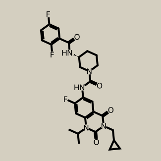 CC(C)n1c(=O)n(CC2CC2)c(=O)c2cc(NC(=O)N3CCC[C@@H](NC(=O)c4cc(F)ccc4F)C3)c(F)cc21